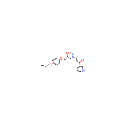 CCCCOc1ccc(OCC(O)CNC(C)=CC(=O)c2cccnc2)cc1